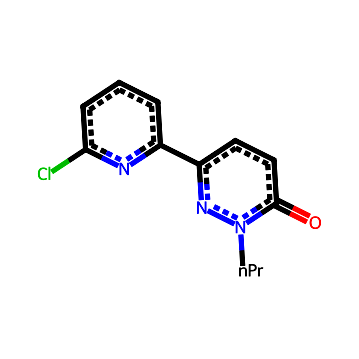 CCCn1nc(-c2cccc(Cl)n2)ccc1=O